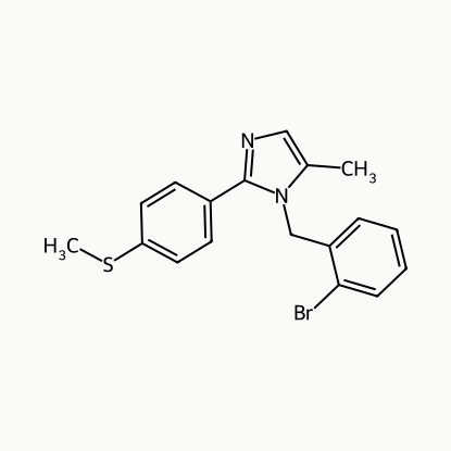 CSc1ccc(-c2ncc(C)n2Cc2ccccc2Br)cc1